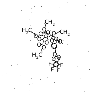 C=CCOC(=O)O[C@@H]1[C@@H](OC(=O)OCC=C)[C@H](Oc2ccc(COC(=O)Oc3c(F)c(F)c(F)c(F)c3F)cc2[N+](=O)[O-])O[C@H](C(=O)OCC=C)[C@H]1OC(=O)OCC=C